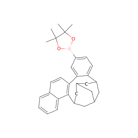 CC1(C)OB(c2ccc3c(c2)-c2ccc4ccccc4c2C2CC4CC(CC3C4)C2)OC1(C)C